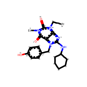 CCn1c(=O)c2c(nc(NC3CCCCC3)n2Cc2ccc(O)cc2)n(CC(C)C)c1=O